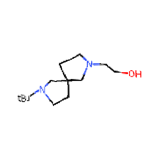 CC(C)(C)N1CCC2(CCN(CCO)C2)C1